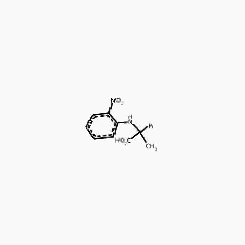 CC(C)C(C)(Nc1ccccc1[N+](=O)[O-])C(=O)O